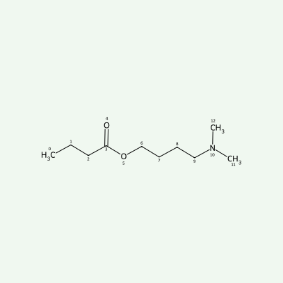 CCCC(=O)OCCCCN(C)C